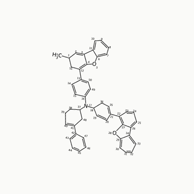 CC1C=c2c(oc3ccccc23)=C(c2ccc(N(C3C=CC(c4cccc5c4oc4ccccc45)=CC3)C3CCC=C(c4ccccc4)C3)cc2)C1